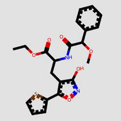 CCOC(=O)C(Cc1c(O)noc1-c1cccs1)NC(=O)C(OC)c1ccccc1